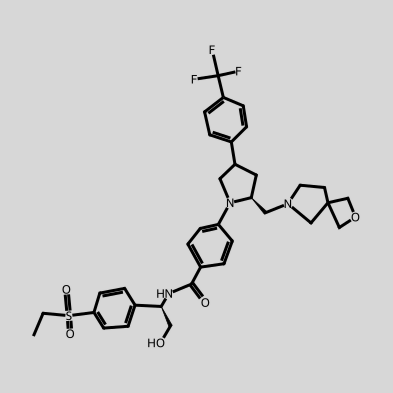 CCS(=O)(=O)c1ccc([C@H](CO)NC(=O)c2ccc(N3CC(c4ccc(C(F)(F)F)cc4)C[C@H]3CN3CCC4(COC4)C3)cc2)cc1